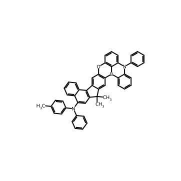 Cc1ccc(N(c2ccccc2)c2cc3c(c4ccccc24)-c2cc4c(cc2C3(C)C)B2c3ccccc3N(c3ccccc3)c3cccc(c32)O4)cc1